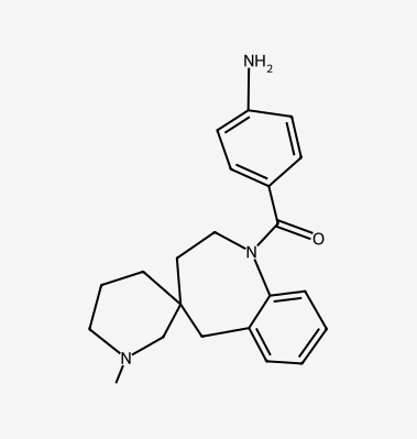 CN1CCCC2(CCN(C(=O)c3ccc(N)cc3)c3ccccc3C2)C1